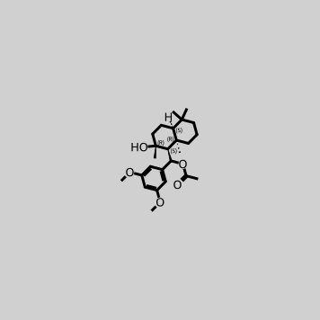 COc1cc(OC)cc(C(OC(C)=O)[C@@H]2[C@]3(C)CCCC(C)(C)[C@@H]3CC[C@@]2(C)O)c1